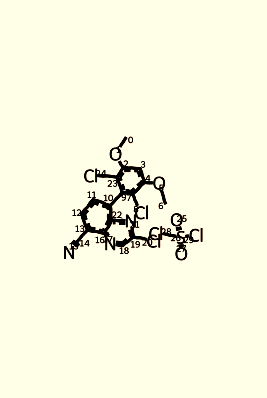 COc1cc(OC)c(Cl)c(-c2ccc(C#N)c3ncc(Cl)nc23)c1Cl.O=S(=O)(Cl)Cl